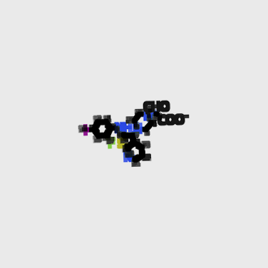 O=C[N+]1(CC(=O)[O-])CCN(c2c(Nc3ccc(I)cc3F)sc3ncccc23)CC1